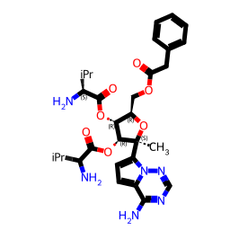 CC(C)C(N)C(=O)O[C@@H]1[C@H](OC(=O)[C@@H](N)C(C)C)[C@@H](COC(=O)Cc2ccccc2)O[C@@]1(C)c1ccc2c(N)ncnn12